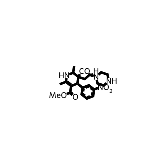 COC(=O)C1=C(C)NC(C)C(CCN2CCNCC2)(C(=O)O)C1c1cccc([N+](=O)[O-])c1